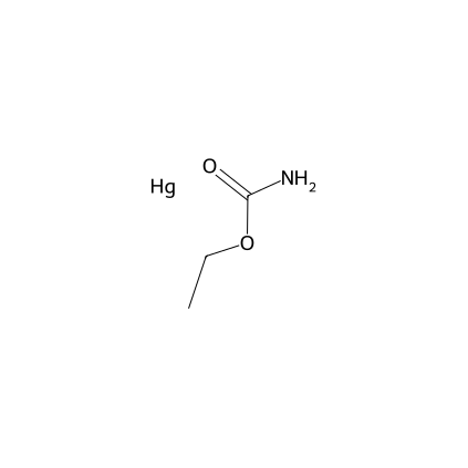 CCOC(N)=O.[Hg]